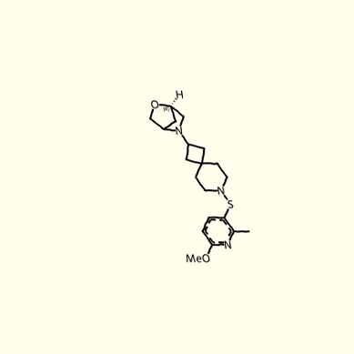 COc1ccc(SN2CCC3(CC2)CC(N2C[C@H]4CC2CO4)C3)c(C)n1